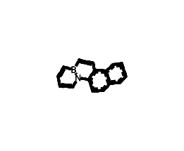 C1=CB2C=Cc3c(ccc4ccccc34)N2C=C1